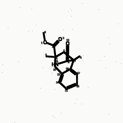 COC(=O)C1(C)CC2(C)C(=O)NC1c1ccccc12